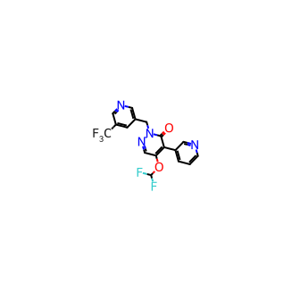 O=c1c(-c2cccnc2)c(OC(F)F)cnn1Cc1cncc(C(F)(F)F)c1